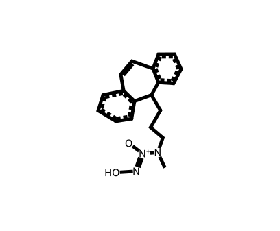 CN(CCCC1c2ccccc2C=Cc2ccccc21)/[N+]([O-])=N/O